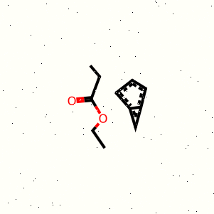 CCOC(=O)CC.c1cc2cc-2c1